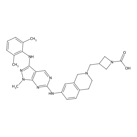 Cc1cccc(C)c1Nc1nn(C)c2nc(Nc3ccc4c(c3)CN(CC3CN(C(=O)O)C3)CC4)ncc12